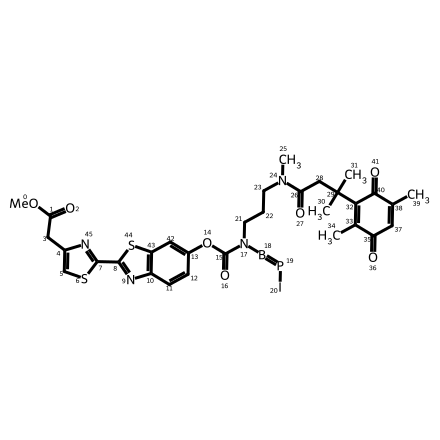 COC(=O)Cc1csc(-c2nc3ccc(OC(=O)N(B=PI)CCCN(C)C(=O)CC(C)(C)C4=C(C)C(=O)C=C(C)C4=O)cc3s2)n1